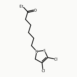 CCC(=O)CCCCCN1CC(Cl)=C(Cl)S1